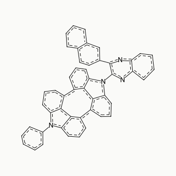 c1ccc(-n2c3cccc4c5cccc6c5c5c(cccc5n6-c5nc6ccccc6nc5-c5ccc6ccccc6c5)c5cccc2c5c43)cc1